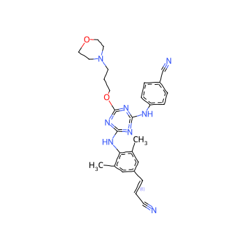 Cc1cc(/C=C/C#N)cc(C)c1Nc1nc(Nc2ccc(C#N)cc2)nc(OCCCN2CCOCC2)n1